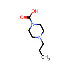 CCCN1CCN(C(=O)O)CC1